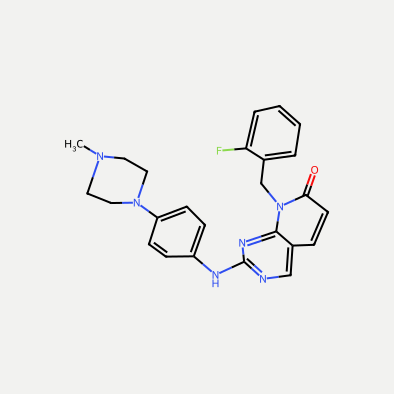 CN1CCN(c2ccc(Nc3ncc4ccc(=O)n(Cc5ccccc5F)c4n3)cc2)CC1